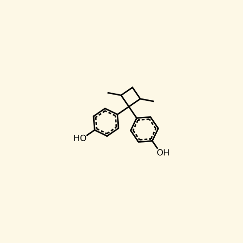 CC1CC(C)C1(c1ccc(O)cc1)c1ccc(O)cc1